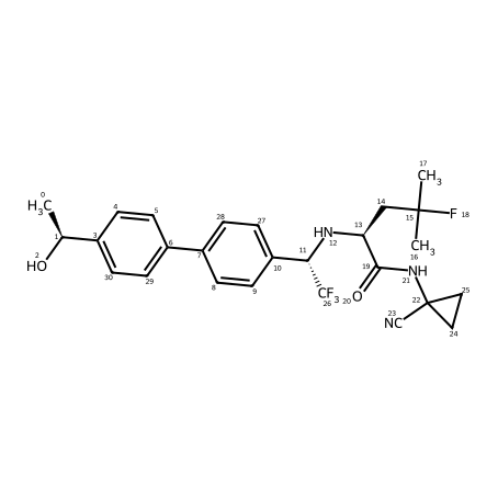 C[C@H](O)c1ccc(-c2ccc([C@H](N[C@@H](CC(C)(C)F)C(=O)NC3(C#N)CC3)C(F)(F)F)cc2)cc1